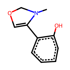 CN1COC=C1c1ccccc1O